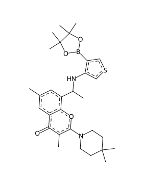 Cc1cc(C(C)Nc2cscc2B2OC(C)(C)C(C)(C)O2)c2oc(N3CCC(C)(C)CC3)c(C)c(=O)c2c1